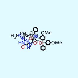 COc1ccc(C(OC[C@H]2O[C@@H](n3cnc4c(=O)[nH]c(/N=C/N(C)C)nc43)[C@H](O[Si](C)(C)C(C)(C)C)[C@@H]2/N=C/c2ccccc2)(c2ccccc2)c2ccc(OC)cc2)cc1